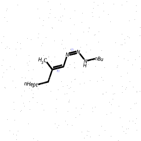 CCCCCCCC/C(C)=C/N=N\NCCCC